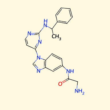 CC(Nc1nccc(-n2cnc3cc(NC(=O)CN)ccc32)n1)c1ccccc1